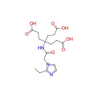 CCc1nccn1CC(=O)NC(CCC(=O)O)(CCC(=O)O)CCC(=O)O